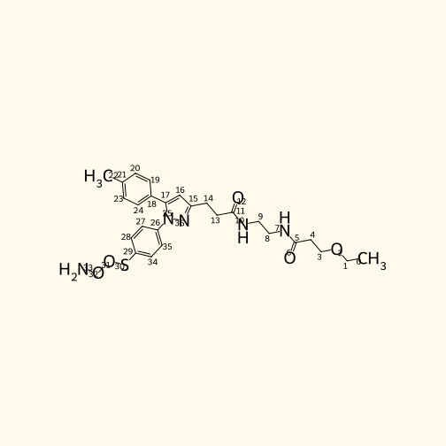 CCOCCC(=O)NCCNC(=O)CCc1cc(-c2ccc(C)cc2)n(-c2ccc(SOON)cc2)n1